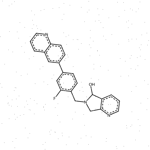 OC1c2cccnc2CN1Cc1ccc(-c2ccc3ncccc3c2)cc1F